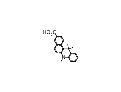 CN1c2ccccc2C(C)(C)c2c1ccc1cc(C(=O)O)ccc21